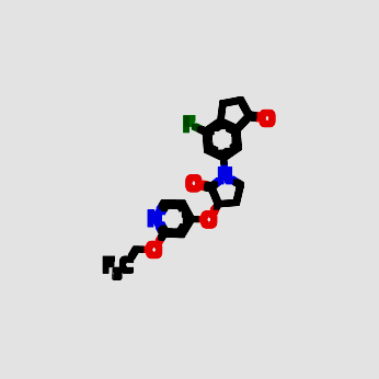 O=C1CCc2c(F)cc(N3CC[C@@H](Oc4ccnc(OCC(F)(F)F)c4)C3=O)cc21